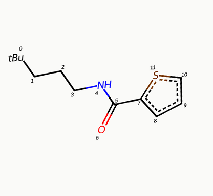 CC(C)(C)CCCNC(=O)c1cccs1